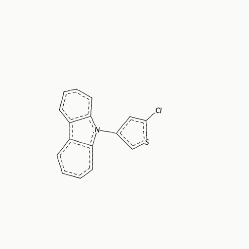 Clc1cc(-n2c3ccccc3c3ccccc32)cs1